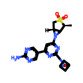 C[C@H]1C2[C@@H](CS1(=O)=O)N2c1cc(-c2cnc(N)nc2)nc(N2CC3CC2C3)n1